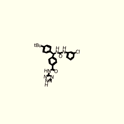 CC(C)(C)c1ccc(C(NC(=O)Nc2cccc(Cl)c2)c2ccc(C(=O)Nc3nn[nH]n3)cc2)cc1